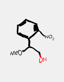 COC(CO)c1ccccc1[N+](=O)[O-]